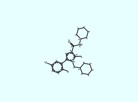 Cc1ccc(F)cc1-c1cc(C(=O)NN2CCCCC2)c(C)n1CC1CCCCC1